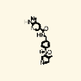 Cc1ccncc1S(=O)(=O)c1ccc(CNC(=O)c2cnc3[nH]ncc3c2)cc1